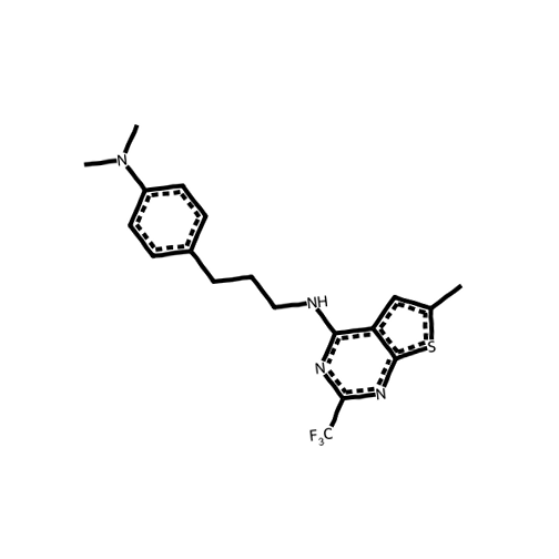 Cc1cc2c(NCCCc3ccc(N(C)C)cc3)nc(C(F)(F)F)nc2s1